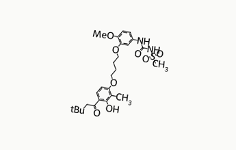 COc1ccc(NC(=O)NS(C)(=O)=O)cc1OCCCCOc1ccc(C(=O)CC(C)(C)C)c(O)c1C